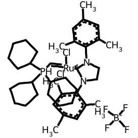 Cc1cc(C)c(N2CCN(c3c(C)cc(C)cc3C)[C]2=[Ru-4]([Cl])([Cl])=[CH][PH](C2CCCCC2)(C2CCCCC2)C2CCCCC2)c(C)c1.F[B-](F)(F)F